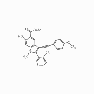 COC(=O)c1cc2c(C#Cc3ccc(OC(F)(F)F)cc3)c(-c3ccccc3C(F)(F)F)n(C)c2cc1O